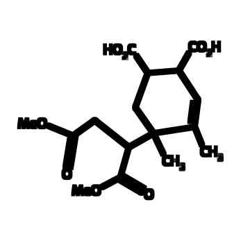 COC(=O)CC(C(=O)OC)C1(C)CC(C(=O)O)C(C(=O)O)C=C1C